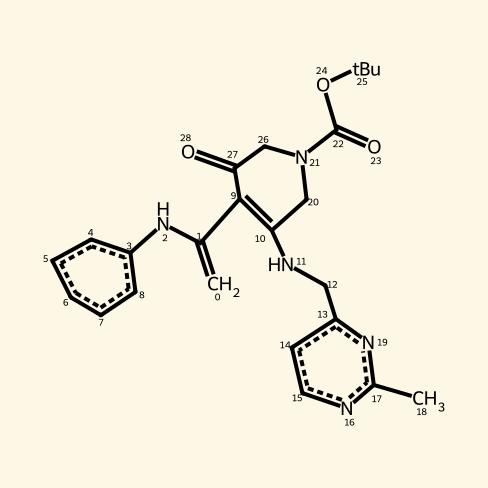 C=C(Nc1ccccc1)C1=C(NCc2ccnc(C)n2)CN(C(=O)OC(C)(C)C)CC1=O